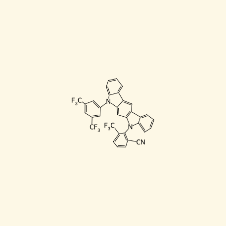 N#Cc1cccc(C(F)(F)F)c1-n1c2ccccc2c2cc3c4ccccc4n(-c4cc(C(F)(F)F)cc(C(F)(F)F)c4)c3cc21